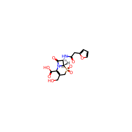 O=C(Cc1ccco1)N[C@H]1C(=O)N2C(C(=O)O)=C(CO)CS(=O)(=O)[C@@H]12